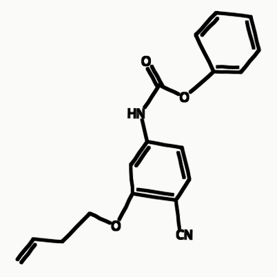 C=CCCOc1cc(NC(=O)Oc2ccccc2)ccc1C#N